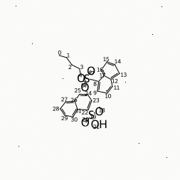 CCCCOS(=O)(=O)c1cccc2ccccc12.O=S(=O)(O)c1cccc2ccccc12